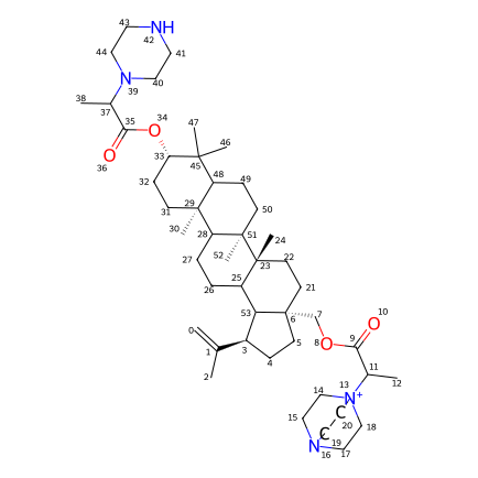 C=C(C)[C@@H]1CC[C@]2(COC(=O)C(C)[N+]34CCN(CC3)CC4)CC[C@]3(C)C(CCC4[C@@]5(C)CC[C@H](OC(=O)C(C)N6CCNCC6)C(C)(C)C5CC[C@]43C)C12